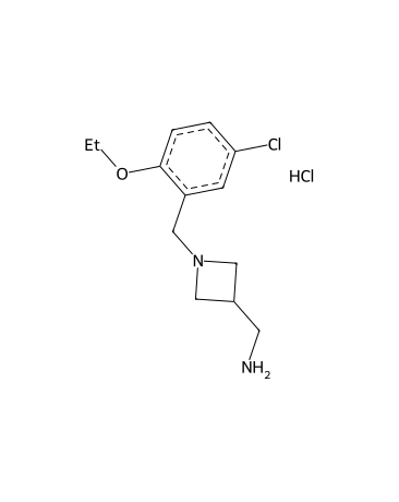 CCOc1ccc(Cl)cc1CN1CC(CN)C1.Cl